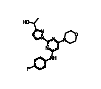 CC(O)c1ccn(-c2nc(Nc3ccc(F)cc3)cc(N3CCOCC3)n2)n1